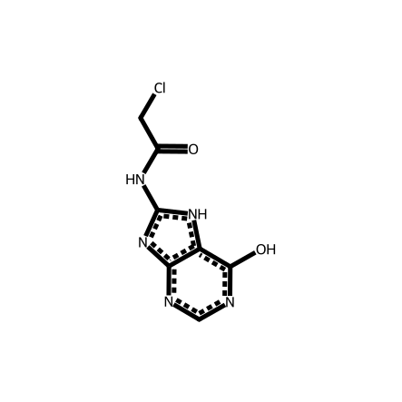 O=C(CCl)Nc1nc2ncnc(O)c2[nH]1